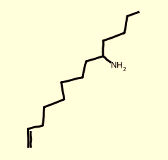 C=CCCCCCCC(N)CCCC